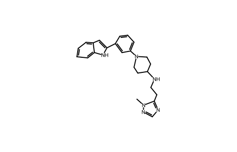 Cn1ncnc1CCNC1CCN(c2cccc(-c3cc4ccccc4[nH]3)c2)CC1